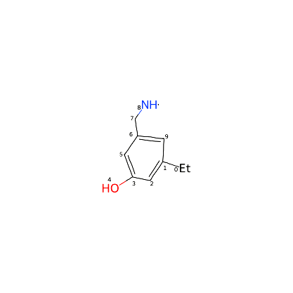 CCc1cc(O)cc(C[NH])c1